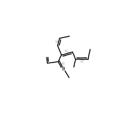 C=CC(=B\C)/C(/C=C\C)=C\C(C)=C/C